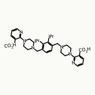 CC(C)c1c(CN2CCN(c3ncccc3C(=O)O)CC2)ccc(CN2CCN(c3ncccc3C(=O)O)CC2)c1C(C)C